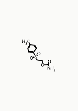 Cc1ccc(S(=O)(=O)CCOC(N)=O)cc1